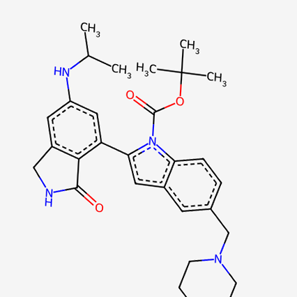 CC(C)Nc1cc2c(c(-c3cc4cc(CN5CCCCC5)ccc4n3C(=O)OC(C)(C)C)c1)C(=O)NC2